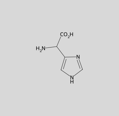 NC(C(=O)O)c1c[nH]cn1